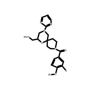 COCC1CN(c2ncccn2)CC2(CCN(C(=O)c3ccc(OC(C)C)c(F)c3)CC2)O1